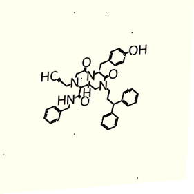 C#CCN1CC(=O)N2[C@H](CN(CCC(c3ccccc3)c3ccccc3)C(=O)[C@@H]2Cc2ccc(O)cc2)C1C(=O)NCc1ccccc1